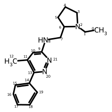 CCN1CCCC1CNc1cc(C)c(-c2ccccc2)nn1